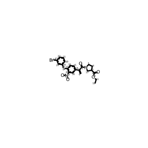 C=C(C(=O)N1CCC(C(=O)OCC)C1)c1ccc(Sc2cccc(Br)c2)c([N+](=O)[O-])c1